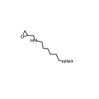 CCCCCCCCCCCCNCC1CO1